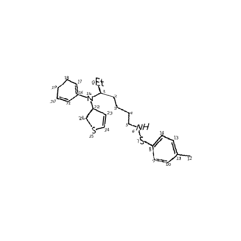 CCC(CCCCNSc1ccc(C)cc1)N(C1=CCCC=C1)C1C=CSC1